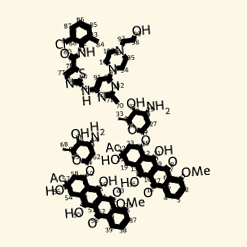 COc1cccc2c1C(=O)c1c(O)c3c(c(O)c1C2=O)C[C@@](O)(C(C)=O)C[C@@H]3O[C@H]1C[C@H](N)[C@H](O)[C@H](C)O1.COc1cccc2c1C(=O)c1c(O)c3c(c(O)c1C2=O)C[C@@](O)(C(C)=O)C[C@@H]3O[C@H]1C[C@H](N)[C@H](O)[C@H](C)O1.Cc1nc(Nc2ncc(C(=O)Nc3c(C)cccc3Cl)s2)cc(N2CCN(CCO)CC2)n1